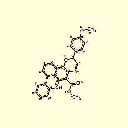 COC(=O)c1c2c(c3ccccc3c1Nc1ccccc1)OC(c1ccc(OC)cc1)C=C2